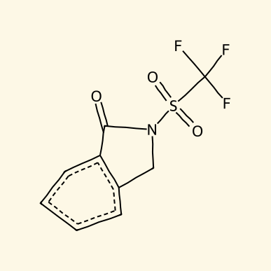 O=C1c2ccccc2CN1S(=O)(=O)C(F)(F)F